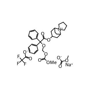 COC(=O)OCOC(C(=O)OC1CC2CCC(C1)[N+]21CCCC1)(c1ccccc1)c1ccccc1.COC(=O)[O-].O=C([O-])C(F)(F)F.[Na+]